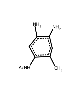 CC(=O)Nc1cc(N)c(N)cc1C